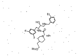 CCC[C@@H](C(=O)N[C@@H](Cc1cc(F)cc(F)c1)[C@@H](O)CNCc1cccc(CC)c1)N1CCC(CCOC)CC1